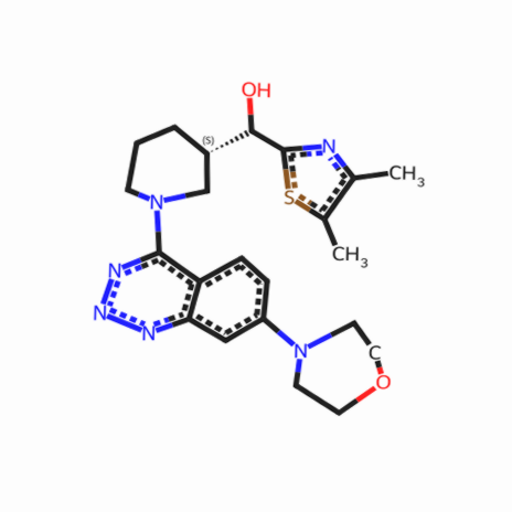 Cc1nc(C(O)[C@H]2CCCN(c3nnnc4cc(N5CCOCC5)ccc34)C2)sc1C